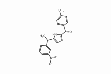 Cc1ccc(C(=O)c2ccc(C(C)c3cccc([N+](=O)[O-])c3)[nH]2)cc1